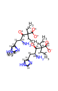 CCC(CC)(C(=O)[O-])C(=O)[C@@H](N)Cc1c[nH]cn1.CCC(CC)(C(=O)[O-])C(=O)[C@@H](N)Cc1c[nH]cn1.[Mg+2]